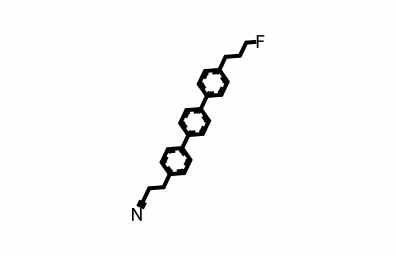 N#CCCc1ccc(-c2ccc(-c3ccc(CCCF)cc3)cc2)cc1